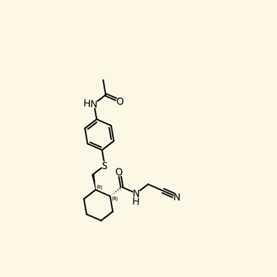 CC(=O)Nc1ccc(SC[C@@H]2CCCC[C@H]2C(=O)NCC#N)cc1